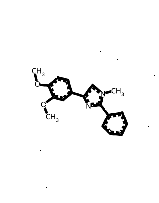 COc1ccc(-c2cn(C)c(-c3ccccc3)n2)cc1OC